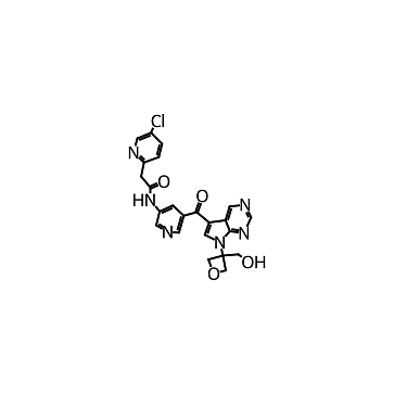 O=C(Cc1ccc(Cl)cn1)Nc1cncc(C(=O)c2cn(C3(CO)COC3)c3ncncc23)c1